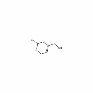 OCC1=CCNC(Cl)O1